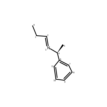 CCC=N[C@@H](C)c1ccccc1